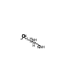 CCc1cccnc1CSCCNC(=N)NCCCc1c[nH]cn1